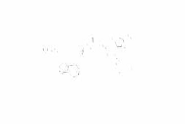 CNCc1c[nH]c2ccc[n+](CC3=C(C(=O)O)N4C(=O)C(NC(=O)/C(=N\OC(C)(C)C(=O)O)c5nsc(N)n5)C4SC3)c12